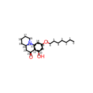 CCCCCCCOc1cc(O)c2c(c1)N1CCCCC1CC2=O